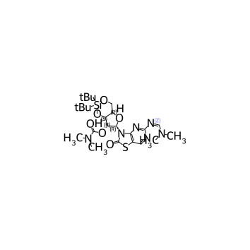 CN(C)/C=N\c1ncc2sc(=O)n([C@@H]3O[C@@H]4CO[Si](C(C)(C)C)(C(C)(C)C)O[C@@H]4[C@H]3OC(=O)N(C)C)c2n1